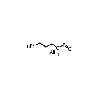 CCCCCCOP=O.[AlH3]